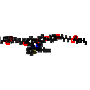 C=CC(=O)OCCCCCCOc1ccc(COc2ccc(OCc3ccc(OCCCCCCOC(=O)C=C)cc3)c(/C=N/N(CCCCCC)c3nc4ccccc4s3)c2)cc1